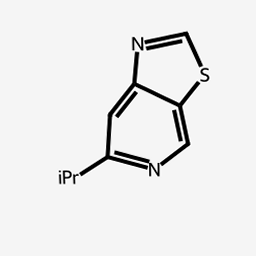 CC(C)c1cc2ncsc2cn1